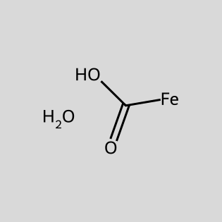 O.O=[C](O)[Fe]